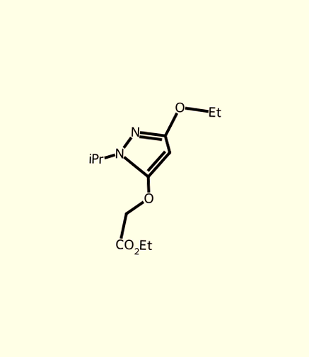 CCOC(=O)COc1cc(OCC)nn1C(C)C